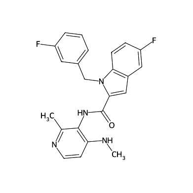 CNc1ccnc(C)c1NC(=O)c1cc2cc(F)ccc2n1Cc1cccc(F)c1